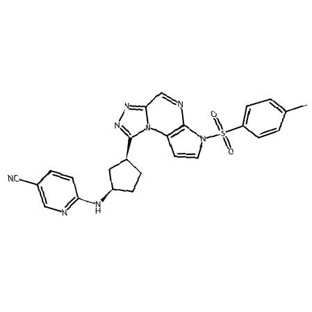 Cc1ccc(S(=O)(=O)n2ccc3c2ncc2nnc([C@H]4CC[C@@H](Nc5ccc(C#N)cn5)C4)n23)cc1